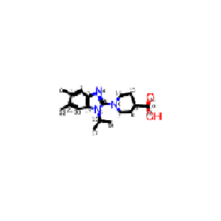 Cc1cc2nc(N3CCC(C(=O)O)CC3)n(C(C)C)c2cc1C